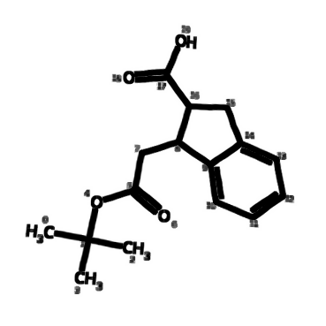 CC(C)(C)OC(=O)CC1c2ccccc2CC1C(=O)O